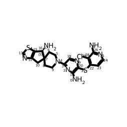 Nc1nc(N2CCC3(CC2)Cc2ncsc2[C@H]3N)cnc1Sc1ccnc(N)c1Cl